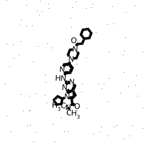 CN(C)C(=O)c1cc2cnc(Nc3ccc(N4CCN(C(=O)CC5CCCCC5)CC4)cn3)nc2n1C1CCCC1